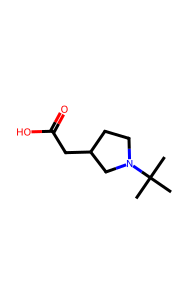 CC(C)(C)N1CCC(CC(=O)O)C1